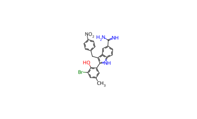 Cc1cc(Br)c(O)c(-c2[nH]c3ccc(C(=N)N)cc3c2Cc2ccc([N+](=O)[O-])cc2)c1